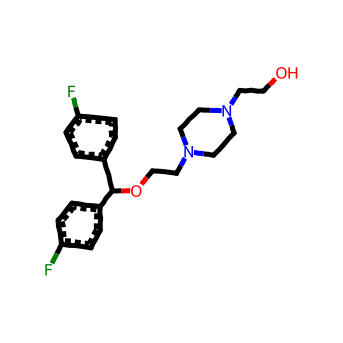 OCCN1CCN(CCOC(c2ccc(F)cc2)c2ccc(F)cc2)CC1